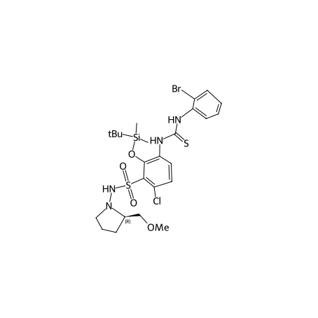 COC[C@H]1CCCN1NS(=O)(=O)c1c(Cl)ccc(NC(=S)Nc2ccccc2Br)c1O[Si](C)(C)C(C)(C)C